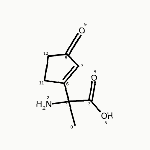 CC(N)(C(=O)O)C1=CC(=O)CC1